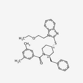 CCOCCn1c(S[C@H]2CCN(C(=O)c3cc(C)cc(C)c3)[C@H](Cc3ccccc3)C2)nc2ccccc21